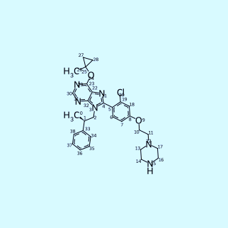 C[C@@H](Cn1c(-c2ccc(OCCN3CCNCC3)cc2Cl)nc2c(OC3(C)CC3)ncnc21)c1ccccc1